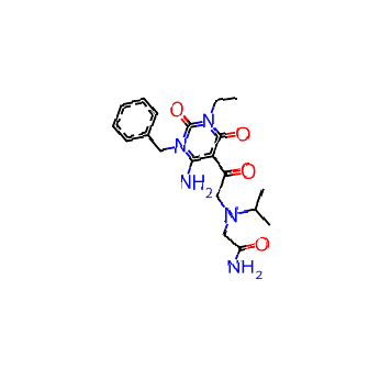 CCn1c(=O)c(C(=O)CN(CC(N)=O)C(C)C)c(N)n(Cc2ccccc2)c1=O